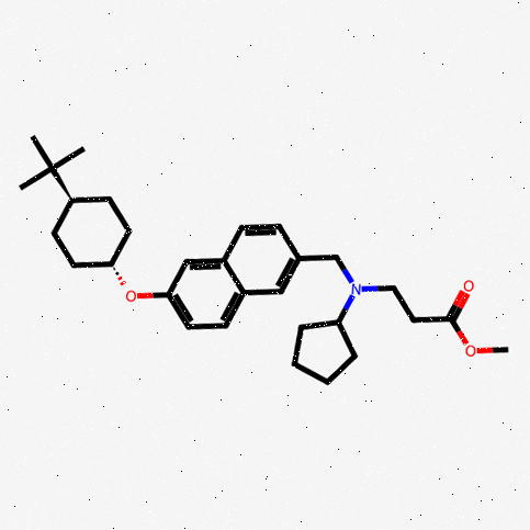 COC(=O)CCN(Cc1ccc2cc(O[C@H]3CC[C@H](C(C)(C)C)CC3)ccc2c1)C1CCCC1